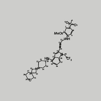 COc1cc(S(C)(=O)=O)ccc1NCC#Cc1cc2c(N[C@H]3CC[C@@H](N4CC5(CCCOC5)C4)CC3)cccc2n1CC(F)(F)F